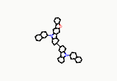 c1ccc2cc(-n3c4ccccc4c4cc(-c5ccc6c(c5)c5cc7oc8ccccc8c7cc5n6-c5ccc6ccccc6c5)ccc43)ccc2c1